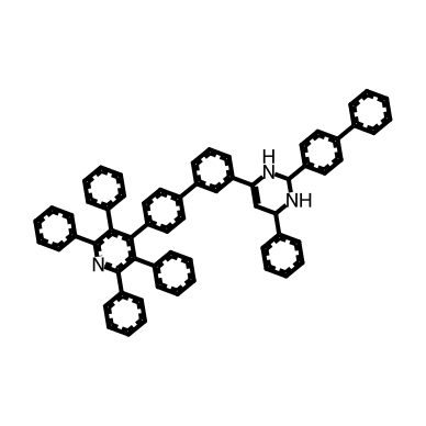 C1=C(c2cccc(-c3ccc(-c4c(-c5ccccc5)c(-c5ccccc5)nc(-c5ccccc5)c4-c4ccccc4)cc3)c2)NC(c2ccc(-c3ccccc3)cc2)NC1c1ccccc1